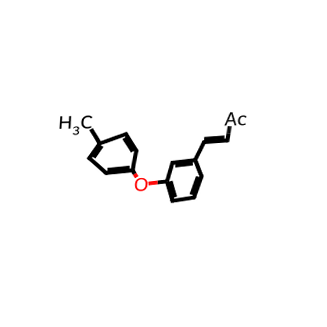 CC(=O)/C=C/c1cccc(Oc2ccc(C)cc2)c1